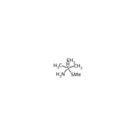 CS[SH](C)(C)(C)N